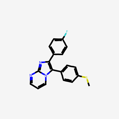 CSc1ccc(-c2c(-c3ccc(F)cc3)nc3ncccn23)cc1